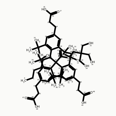 CCCCCC(c1c(C(C)(C)C)cc(CCC(=O)O)cc1C(C)(C)C)C(C(=S)OCC(CO)(CO)CO)(c1c(C(C)(C)C)cc(CCC(=O)O)cc1C(C)(C)C)c1c(C(C)(C)C)cc(CCC(=O)O)cc1C(C)(C)C